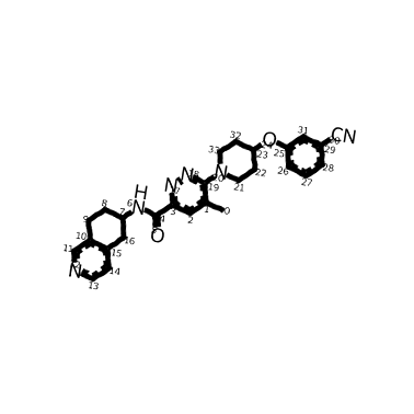 Cc1cc(C(=O)NC2CCc3cnccc3C2)nnc1N1CCC(Oc2cccc(C#N)c2)CC1